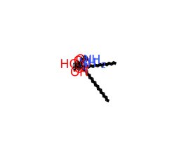 CCCCCCCCCCCCCCCCCCN(C(=O)CCCCCCCCCCCCC)[C@@H]1O[C@H](CO)[C@H](O)[C@H](O)[C@H]1NC(=O)[C@H](C)N